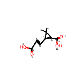 CC1(C)C(C=CC(=O)O)C1C(=O)O